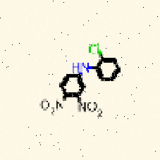 O=[N+]([O-])c1ccc(Nc2ccccc2Cl)cc1[N+](=O)[O-]